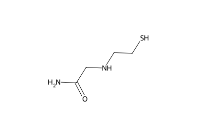 NC(=O)CNCCS